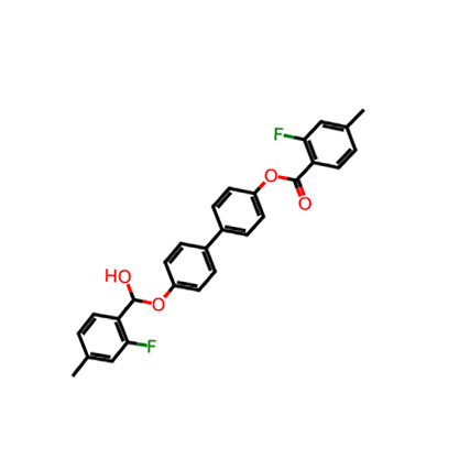 Cc1ccc(C(=O)Oc2ccc(-c3ccc(OC(O)c4ccc(C)cc4F)cc3)cc2)c(F)c1